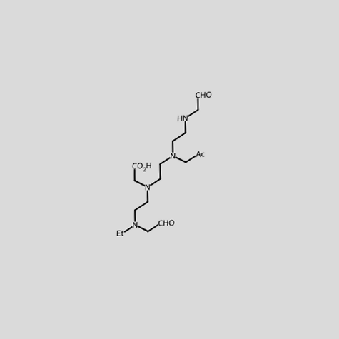 CCN(CC=O)CCN(CCN(CCNCC=O)CC(C)=O)CC(=O)O